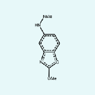 CNNc1ccc2oc(OC)nc2c1